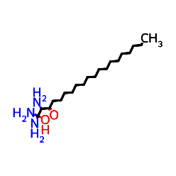 CCCCCCCCCCCCCCCCCC(=O)C(N)C(N)(N)O